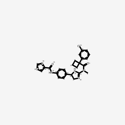 CN(C(=O)C1(c2cccc(Cl)c2)CCC1)C1=NCC(c2ccc(NC(=O)c3cscn3)cc2)N1